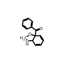 COC1(C(=O)c2ccccc2)C=CC=CC1O